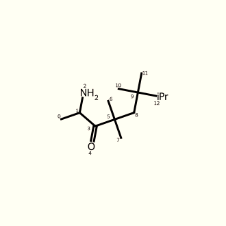 CC(N)C(=O)C(C)(C)CC(C)(C)C(C)C